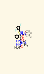 CON(C)C(=O)N1N=C(c2cc(F)ccc2F)SC1(CCCNC(NC(C)=O)NC(C)=O)c1ccccc1